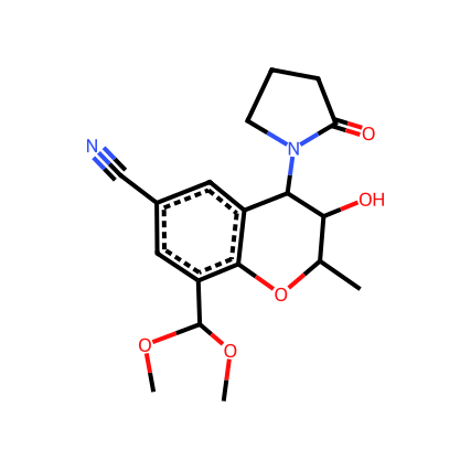 COC(OC)c1cc(C#N)cc2c1OC(C)C(O)C2N1CCCC1=O